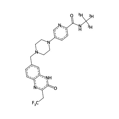 [2H]C([2H])([2H])NC(=O)c1ccc(N2CCN(Cc3ccc4nc(CC(F)(F)F)c(=O)[nH]c4c3)CC2)cn1